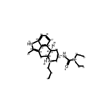 CCCN1C[C@@H](NC(=O)N(CC)CC)C[C@@H]2c3cccc4[nH]c(C)c(c34)C[C@H]21